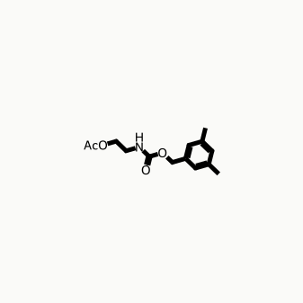 CC(=O)OCCNC(=O)OCc1cc(C)cc(C)c1